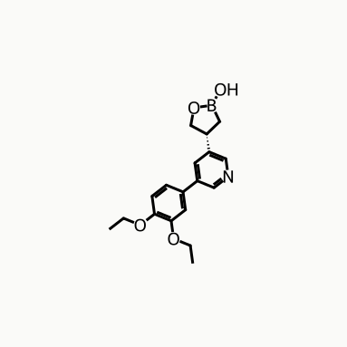 CCOc1ccc(-c2cncc([C@@H]3COB(O)C3)c2)cc1OCC